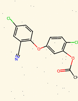 CC(=O)Oc1cc(Oc2ccc(Cl)cc2C#N)ccc1Cl